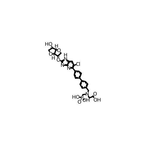 O=C(O)CN(Cc1ccc(-c2ccc(-c3nc4nc(O[C@@H]5CO[C@H]6[C@@H]5OC[C@H]6O)[nH]c4cc3Cl)cc2)cc1)CP(=O)(O)O